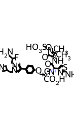 CC1(C)[C@H](NC(=O)/C(=N\O[C@@H](COc2ccc(-c3cn(CC4CNC4)[n+](CC(F)CN)c3)cc2)C(=O)O)c2csc(N)n2)C(=O)N1OS(=O)(=O)O